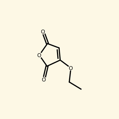 CCOC1=CC(=O)OC1=O